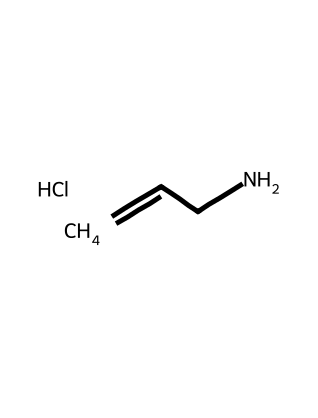 C.C=CCN.Cl